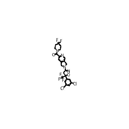 O=C(c1cc2c(cn1)CN(C1=NOC(c3cc(Cl)cc(Cl)c3)(C(F)(F)F)C1)C2)N1CCC(F)(F)CC1